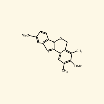 COc1ccc2c(c1)nc1n2SCc2c(C)c(OC)c(C)c[n+]2-1